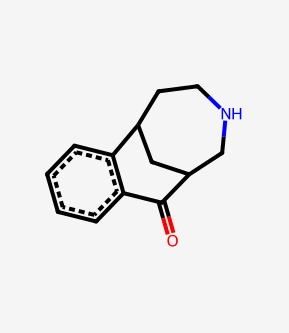 O=C1c2ccccc2C2CCNCC1C2